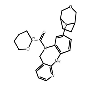 O=C([C@H]1CCCCO1)N1Cc2cccnc2Nc2ccc(N3C4CCC3COC4)cc21